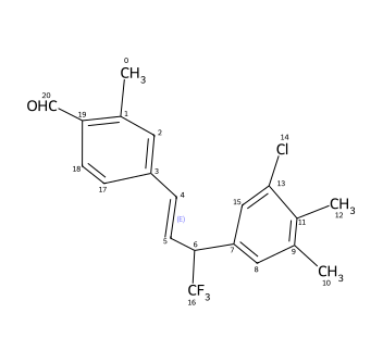 Cc1cc(/C=C/C(c2cc(C)c(C)c(Cl)c2)C(F)(F)F)ccc1C=O